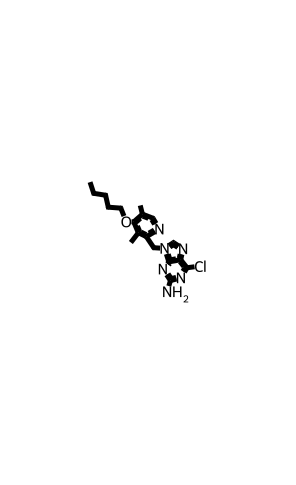 CCCCCOc1c(C)cnc(Cn2cnc3c(Cl)nc(N)nc32)c1C